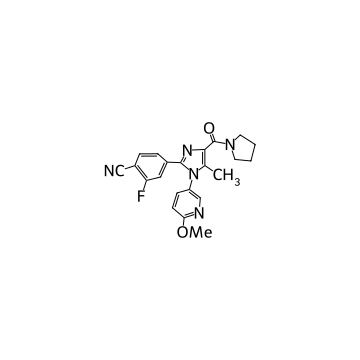 COc1ccc(-n2c(-c3ccc(C#N)c(F)c3)nc(C(=O)N3CCCC3)c2C)cn1